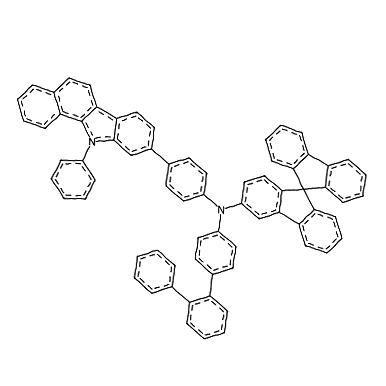 c1ccc(-c2ccccc2-c2ccc(N(c3ccc(-c4ccc5c6ccc7ccccc7c6n(-c6ccccc6)c5c4)cc3)c3ccc4c(c3)-c3ccccc3C43c4ccccc4-c4ccccc43)cc2)cc1